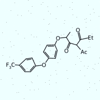 CCC(=O)C(C(C)=O)C(=O)C(C)Oc1ccc(Oc2ccc(C(F)(F)F)cc2)cc1